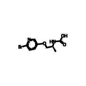 C[C@@H](COc1ccc(Br)nc1)NC(=O)O